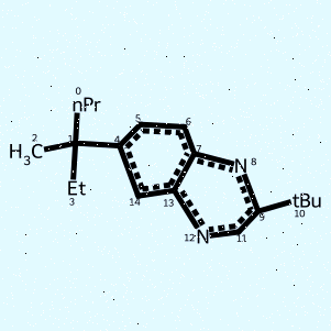 CCCC(C)(CC)c1ccc2nc(C(C)(C)C)cnc2c1